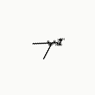 CCCCCCCCCCCCCCCC(=O)OCC(COC(=O)CCC(=O)NC(Cc1c[nH]cn1)C(=O)O)OC(=O)CCCCCCCCCCCCCCC